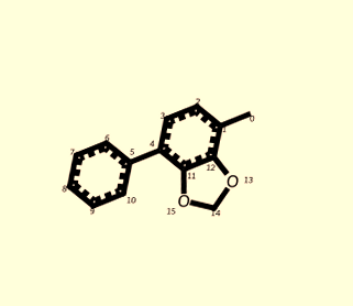 Cc1ccc(-c2ccccc2)c2c1OCO2